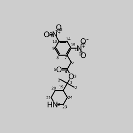 CC(C)(OC(=O)Cc1ccc([N+](=O)[O-])cc1[N+](=O)[O-])C1CCNCC1